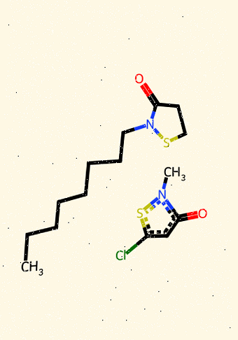 CCCCCCCCN1SCCC1=O.Cn1sc(Cl)cc1=O